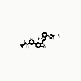 Cc1cn(-c2cccc3[nH]c(-c4n[nH]c5ccc(-c6cncc(NC(=O)C7CC7)c6)cc45)cc23)cn1